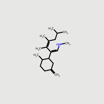 C=C1CCC(C)C(C(=C/NC)/C(C)=C(/C)CC(C)C)C1